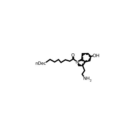 CCCCCCCCCCCCCCCCC(=O)n1cc(CCN)c2cc(O)ccc21